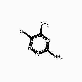 Nc1nnc(Cl)c(N)n1